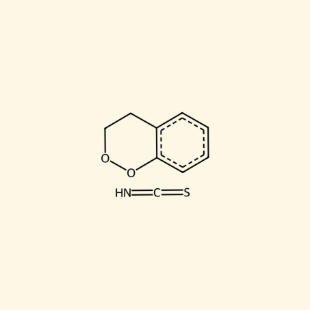 N=C=S.c1ccc2c(c1)CCOO2